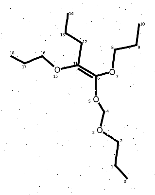 CCCOCOC(OCCC)=C(CCC)OCCC